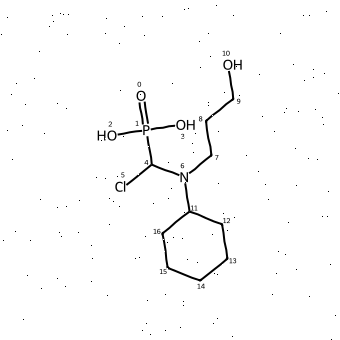 O=P(O)(O)C(Cl)N(CCCO)C1CCCCC1